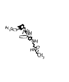 CCONC(=O)CCCNc1ccc(C(=O)N/N=C/c2cccc(OC)c2)cc1